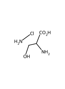 NC(CO)C(=O)O.NCl